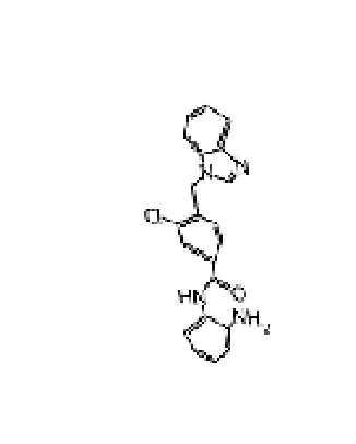 Nc1ccccc1NC(=O)c1ccc(Cn2cnc3ccccc32)c(Cl)c1